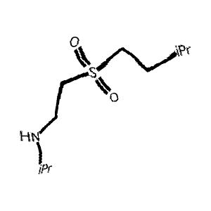 CC(C)CCS(=O)(=O)CCNC(C)C